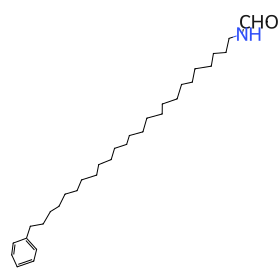 O=[C]NCCCCCCCCCCCCCCCCCCCCCCCCCc1ccccc1